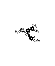 COc1ccc(C=CC(=O)c2cc(-c3cc(C)cc(C)c3)ccc2OCCN(C)C)cc1F